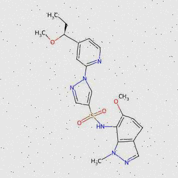 CC[C@H](OC)c1ccnc(-n2cc(S(=O)(=O)Nc3c(OC)ccc4cnn(C)c34)cn2)c1